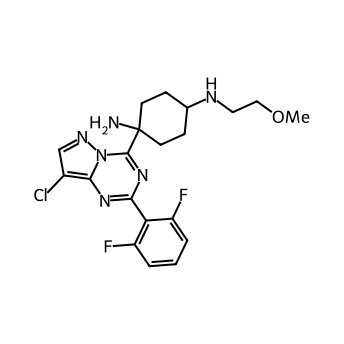 COCCNC1CCC(N)(c2nc(-c3c(F)cccc3F)nc3c(Cl)cnn23)CC1